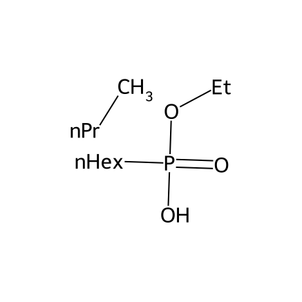 CCCC.CCCCCCP(=O)(O)OCC